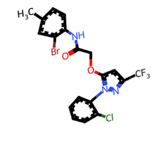 Cc1ccc(NC(=O)COc2cc(C(F)(F)F)nn2-c2ccccc2Cl)c(Br)c1